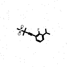 CC(C)c1cccc(C#CC(C)(C)S(C)(=O)=O)c1F